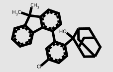 CC1(C)c2ccccc2-c2c(-c3cc(Cl)ccc3C3(O)C4CC5CC(C4)CC3C5)cccc21